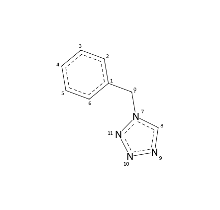 [CH](c1ccccc1)n1cnnn1